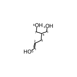 OC=CCC(CO)CO